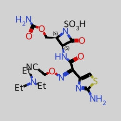 CCN(CC)CC.N#CCON=C(C(=O)N[C@@H]1C(=O)N(S(=O)(=O)O)[C@@H]1COC(N)=O)c1csc(N)n1